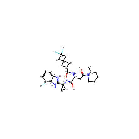 C[C@H]1CCCCN1C(=O)CC(NC(=O)C1CC2(C1)CC(F)(F)C2)C(=O)NC1(c2nc3cccc(F)c3[nH]2)CC1